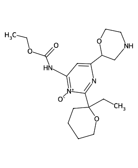 CCOC(=O)Nc1cc(C2CNCCO2)nc(C2(CC)CCCCO2)[n+]1[O-]